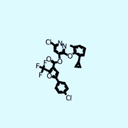 Cc1cccc(C2CC2)c1Oc1nnc(Cl)cc1OC(=O)c1cc(-c2ccc(Cl)cc2)oc1C(F)(F)F